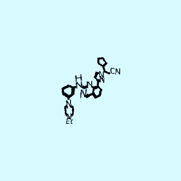 CCN1CCN(c2cccc(Nc3ncc4cccc(-c5ccn(C(CC#N)C6CCCC6)n5)c4n3)c2)CC1